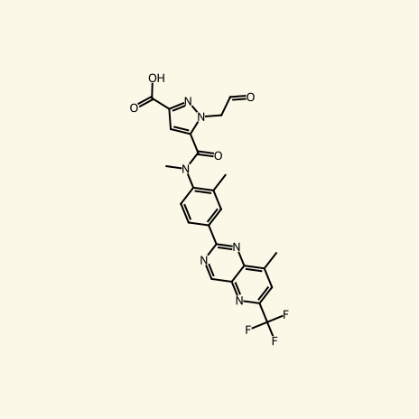 Cc1cc(-c2ncc3nc(C(F)(F)F)cc(C)c3n2)ccc1N(C)C(=O)c1cc(C(=O)O)nn1CC=O